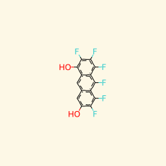 Oc1cc2cc3c(O)c(F)c(F)c(F)c3c(F)c2c(F)c1F